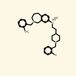 Cc1ccccc1CN1CCCc2ccc(OCCC3CCN(Cc4ccccc4Cl)CC3)cc2C1.Cl.Cl